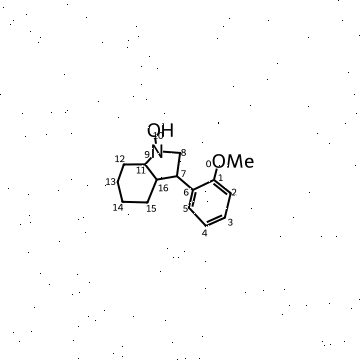 COc1ccccc1C1CN(O)C2CCCCC12